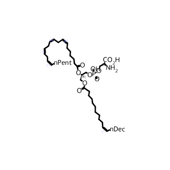 CCCCC/C=C\C/C=C\C/C=C\C/C=C\CCCCCC(=O)O[C@H](COC(=O)CCCCCCCCC/C=C\CCCCCCCCCC)COP(=O)(O)OC[C@H](N)C(=O)O